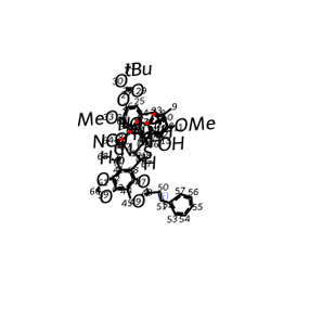 C=CCN1[C@@H]2Cc3cc(C)c(OC)c(O)c3[C@H]1C1[C@@H]3SC[C@]4(NCCc5cc(OC(=O)OC(C)(C)C)c(OC)cc54)C(=O)OC[C@@H](c4c5c(c(C)c(OC(=O)/C=C/c6ccccc6)c43)OCO5)N1[C@H]2C#N